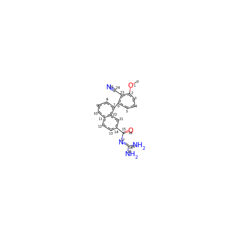 COc1cccc(-c2cccc3ccc(C(=O)N=C(N)N)cc23)c1C#N